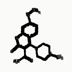 COc1ccc2c(N3CCN(C)CC3)c(C(C)=O)c(=O)oc2c1